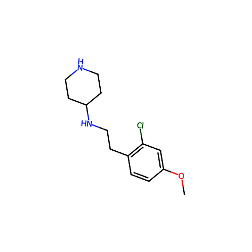 COc1ccc(CCNC2CCNCC2)c(Cl)c1